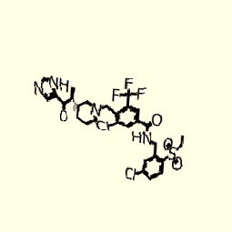 C=C(C(=O)c1cnc[nH]1)[C@H]1CCCN(Cc2c(Cl)cc(C(=O)NCc3cc(Cl)ccc3S(=O)(=O)CC)cc2C(F)(F)F)C1